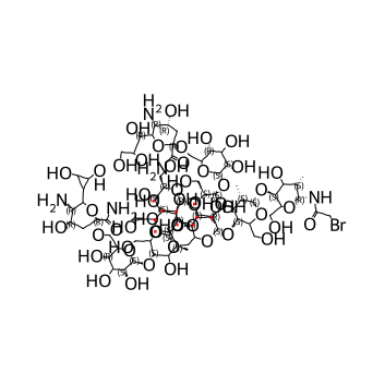 CC1C(O)[C@H](O[C@@H]2OC(CO[C@]3(C(N)=O)C[C@@H](O)[C@@H](N)C([C@H](O)C(O)CO)O3)[C@H](O)C(O)[C@@H]2O)[C@H](CO)O[C@H]1O[C@@H]1C(O)[C@H](O)C(CO)O[C@@H]1OCC1O[C@@H](O[C@@H]2C(CO)O[C@@H](O[C@@H]3C(CO)O[C@@H](NC(=O)CBr)[C@@H](C)C3O)[C@@H](C)C2O)[C@H](O)C(O[C@H]2O[C@H](CO)[C@@H](O)C(O)C2O[C@@H]2OC(CO)[C@@H](O[C@@H]3OC(CO[C@]4(C(N)=O)C[C@@H](O)[C@@H](N)C(C5C(O)C5O)O4)[C@H](O)C(O)[C@@H]3O)C(O)[C@@H]2C)[C@@H]1O